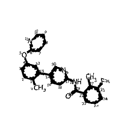 Cc1ccc(Oc2ccccn2)cc1-c1ccc(NC(=O)c2cccc(F)c2C)nc1